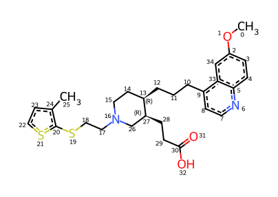 COc1ccc2nccc(CCC[C@@H]3CCN(CCSc4sccc4C)C[C@@H]3CCC(=O)O)c2c1